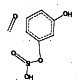 C=O.O=[Si](O)Oc1cccc(O)c1